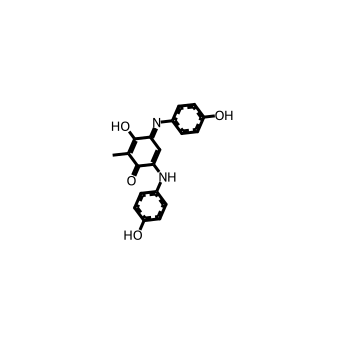 CC1=C(O)C(=Nc2ccc(O)cc2)C=C(Nc2ccc(O)cc2)C1=O